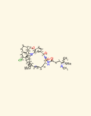 C=N/C(CCC(=O)N[S@@]1(=O)=NC(=O)c2ccc3c(c2)N(C[C@@H]2CC[C@H]2[C@@H](OC)/C=C/CCC1)C[C@@]1(CCCc2cc(Cl)ccc21)CO3)=C(/C)SC